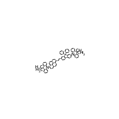 CC1(C)c2ccccc2N(c2ccc3c(c2)C(c2ccccc2)(c2ccccc2)c2cc(/C=C/c4ccc5ccc6c(N7c8ccccc8C(C)(C)c8ccccc87)ccc7ccc4c5c76)ccc2-3)c2ccccc21